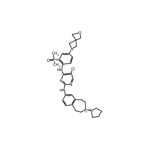 CP(C)(=O)c1cc(N2CC3(COC3)C2)ccc1Nc1nc(Nc2ccc3c(c2)CC[C@@H](N2CCCC2)CC3)ncc1Cl